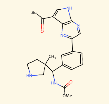 COC(=O)NC(c1cccc(-c2cnc3[nH]cc(C(=O)C(C)(C)C)c3n2)c1)C1(C)CCNC1